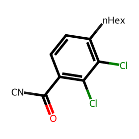 [C-]#[N+]C(=O)c1ccc(CCCCCC)c(Cl)c1Cl